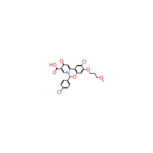 COCCCOc1cc2c(cc1Cl)-c1cc(=O)c(C(=O)O)cn1C(c1ccc(Cl)cc1)O2